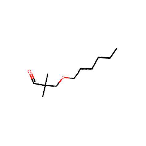 CCCCCCOCC(C)(C)C=O